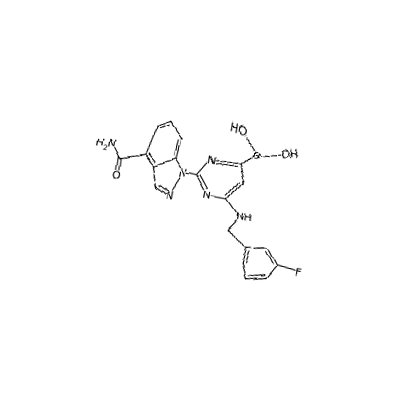 NC(=O)c1cccc2c1cnn2-c1nc(NCc2cccc(F)c2)cc(B(O)O)n1